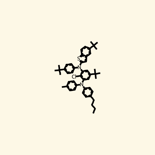 CCCCc1ccc(N(c2ccc(C)cc2)c2cc(C(C)(C)C)cc(N(c3ccc(C(C)(C)C)cc3)c3cc4cc(C(C)(C)C)ccc4s3)c2Cl)cc1